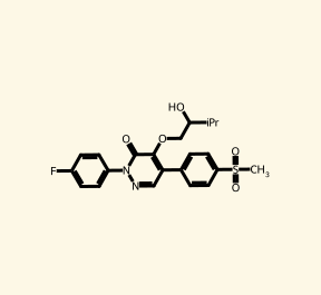 CC(C)C(O)COc1c(-c2ccc(S(C)(=O)=O)cc2)cnn(-c2ccc(F)cc2)c1=O